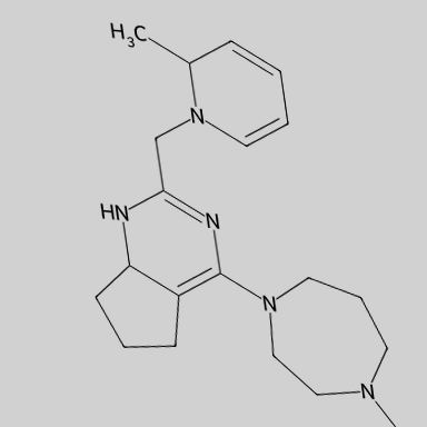 CC1C=CC=CN1CC1=NC(N2CCCN(C)CC2)=C2CCCC2N1